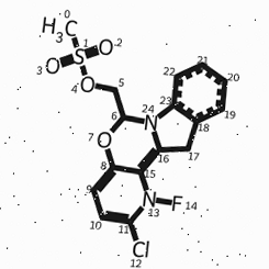 CS(=O)(=O)OCC1OC2=CC=C(Cl)N(F)C2=C2Cc3ccccc3N21